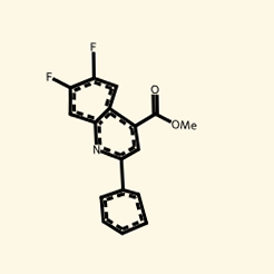 COC(=O)c1cc(-c2ccccc2)nc2cc(F)c(F)cc12